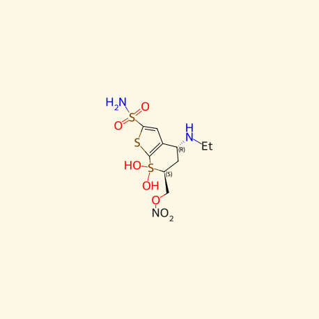 CCN[C@@H]1C[C@@H](CO[N+](=O)[O-])S(O)(O)c2sc(S(N)(=O)=O)cc21